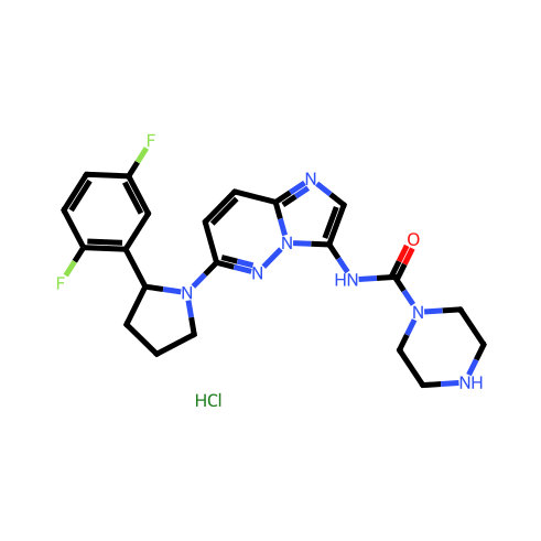 Cl.O=C(Nc1cnc2ccc(N3CCCC3c3cc(F)ccc3F)nn12)N1CCNCC1